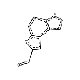 O=Cc1cc2c(ccc3sccc32)s1